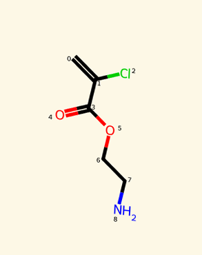 C=C(Cl)C(=O)OCCN